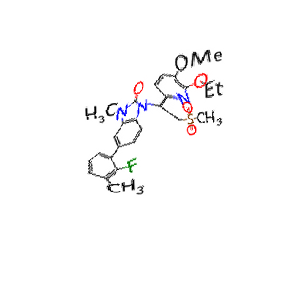 CCOc1nc(C(CS(C)(=O)=O)n2c(=O)n(C)c3cc(-c4cccc(C)c4F)ccc32)ccc1OC